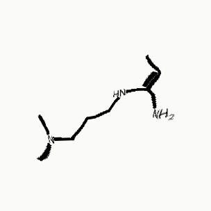 CC=C(N)NCCCN(C)C